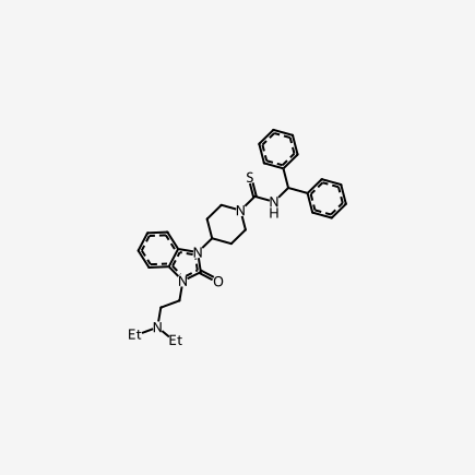 CCN(CC)CCn1c(=O)n(C2CCN(C(=S)NC(c3ccccc3)c3ccccc3)CC2)c2ccccc21